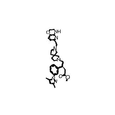 COC(=O)C[C@H](CN1CCC2(CCN(Cc3ccc4c(n3)NCCO4)C2)C1)c1cccc(-n2nc(C)cc2C)c1